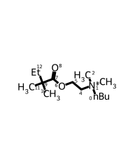 CCCC[N+](C)(C)CCOC(=O)C(C)(C)CC